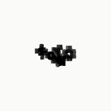 C[Si](C)(C)CCOCn1cnc(-c2ccccc2)c1C1CC1